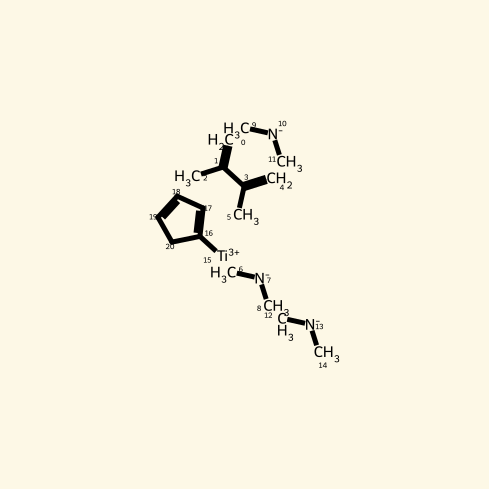 C=C(C)C(=C)C.C[N-]C.C[N-]C.C[N-]C.[Ti+3][C]1=CC=CC1